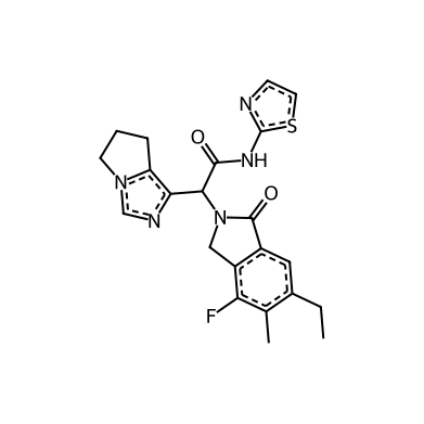 CCc1cc2c(c(F)c1C)CN(C(C(=O)Nc1nccs1)c1ncn3c1CCC3)C2=O